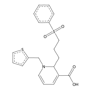 O=C(O)C1=CC=CN(Cc2cccs2)C1CCCS(=O)(=O)c1ccccc1